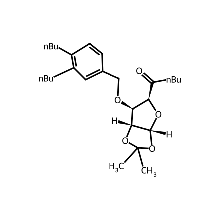 CCCCC(=O)[C@H]1O[C@@H]2OC(C)(C)O[C@@H]2[C@H]1OCc1ccc(CCCC)c(CCCC)c1